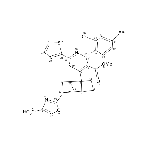 COC(=O)C1=C(C23C4C5C2C2C3C4C52c2nc(C(=O)O)co2)NC(c2nccs2)=N[C@@H]1c1ccc(F)cc1Cl